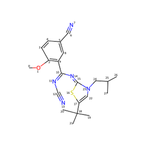 COc1ccc(C#N)cc1C(=NC#N)N=c1sc(C(C)(C)C)cn1CC(C)C